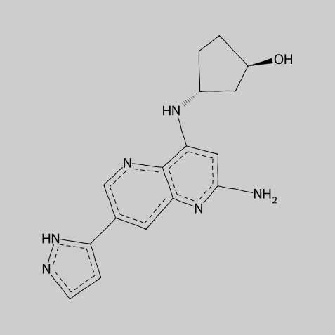 Nc1cc(N[C@@H]2CC[C@@H](O)C2)c2ncc(-c3ccn[nH]3)cc2n1